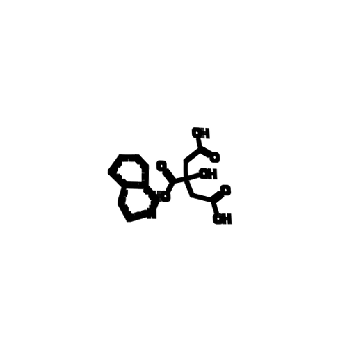 O=C(O)CC(O)(CC(=O)O)C(=O)O.c1ccc2cnccc2c1